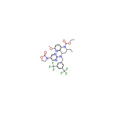 CCOC(=O)N1c2ccc(OC)nc2C(N(Cc2cc(C(F)(F)F)cc(C(F)(F)F)c2)c2ncc(N3CCOC3=O)cn2)CC1CC